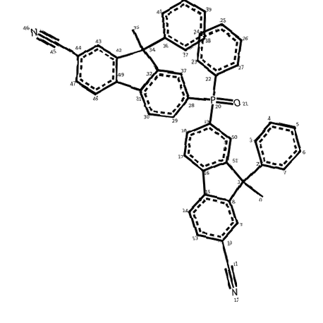 CC1(c2ccccc2)c2cc(C#N)ccc2-c2ccc(P(=O)(c3ccccc3)c3ccc4c(c3)C(C)(c3ccccc3)c3cc(C#N)ccc3-4)cc21